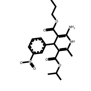 CCCOC(=O)C1=C(N)NC(C)=C(C(=O)OC(C)C)C1c1cccc([N+](=O)[O-])c1